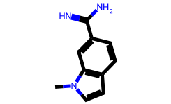 Cn1ccc2ccc(C(=N)N)cc21